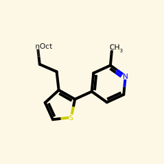 CCCCCCCCCCc1ccsc1-c1ccnc(C)c1